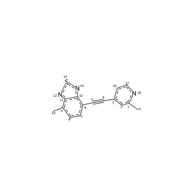 Cc1cc(C#Cc2ccc(C)c3nsnc23)ccn1